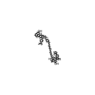 C=CC(=O)N1CCN(c2nc(O[C@H](C)CN3CCC(OCCOCCOCCOCCOCC(=O)N[C@H](C(=O)N4C[C@H](O)C[C@H]4C(=O)N[C@@H](C)c4ccc(-c5scnc5C)cc4)C(C)(C)C)CC3)nc3c(F)c(-c4cc(O)cc5ccccc45)c(Cl)cc23)CC1